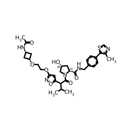 CC(=O)N[C@H]1C[C@@H](OCCOc2cc(C(C(=O)N3C[C@H](O)C[C@H]3C(=O)NCc3ccc(-c4scnc4C)cc3)C(C)C)on2)C1